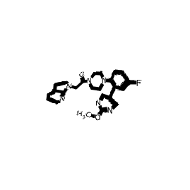 COc1ncc(-c2cc(F)ccc2N2CCN(C(=O)Cn3ccc4cccnc43)CC2)cn1